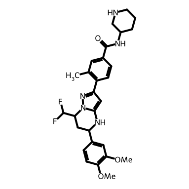 COc1ccc(C2CC(C(F)F)n3nc(-c4ccc(C(=O)NC5CCCNC5)cc4C)cc3N2)cc1OC